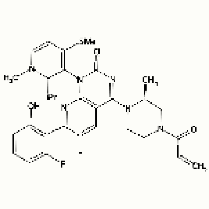 C=CC(=O)N1CCN(c2nc(=O)n(C3=C(SC)C=CN(C)C3C(C)C)c3nc(-c4c(O)cccc4F)c(F)cc23)[C@@H](C)C1